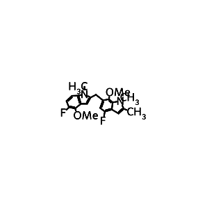 COc1c(F)ccc2c1cc(Cc1cc(F)c3cc(C)n(C)c3c1OC)n2C